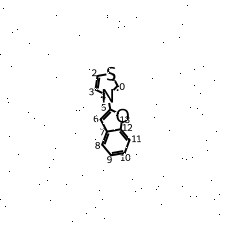 [CH]1SC=CN1c1cc2ccccc2o1